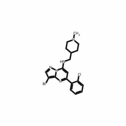 CN1CCC(CNc2cc(-c3ccccc3Cl)nc3c(Br)cnn23)CC1